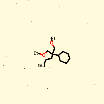 CCOCC(CCC(C)(C)C)(COCC)C1CCCCC1